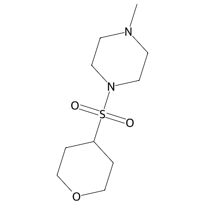 CN1CCN(S(=O)(=O)C2CCOCC2)CC1